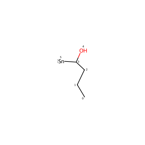 CCC[CH](O)[Sn]